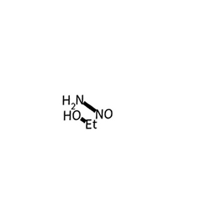 CCO.NN=O